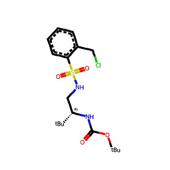 CC(C)(C)OC(=O)N[C@@H](CNS(=O)(=O)c1ccccc1CCl)C(C)(C)C